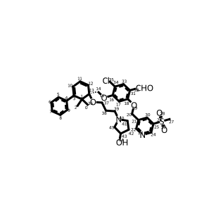 CC1(C)C(c2ccccc2)=CC=C[C@@]1(COc1cc(OCc2cncc(S(C)(=O)=O)c2)c(C=O)cc1Cl)OCCCN1CCC(O)C1